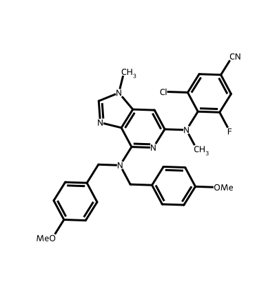 COc1ccc(CN(Cc2ccc(OC)cc2)c2nc(N(C)c3c(F)cc(C#N)cc3Cl)cc3c2ncn3C)cc1